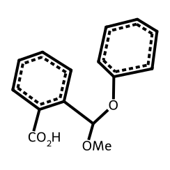 COC(Oc1ccccc1)c1ccccc1C(=O)O